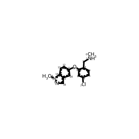 CNCc1ccc(Cl)cc1Oc1ccc2c(cnn2C)c1